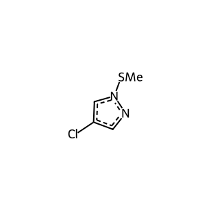 CSn1cc(Cl)cn1